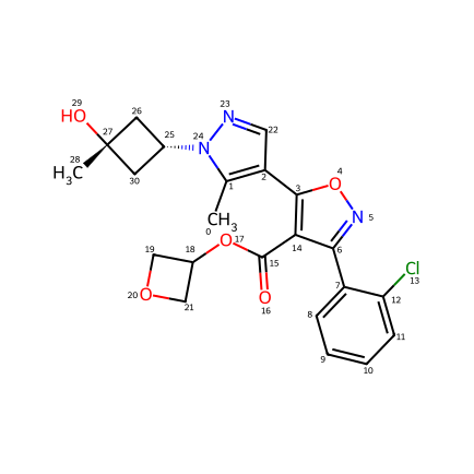 Cc1c(-c2onc(-c3ccccc3Cl)c2C(=O)OC2COC2)cnn1[C@H]1C[C@@](C)(O)C1